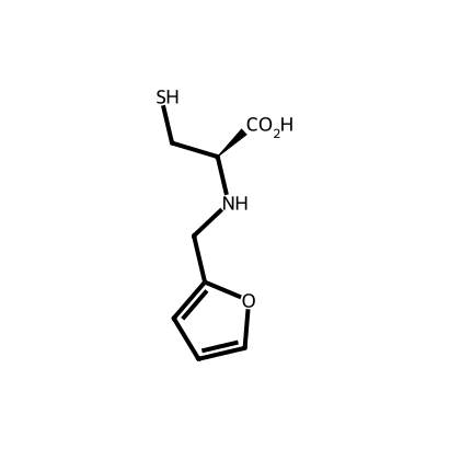 O=C(O)[C@H](CS)NCc1ccco1